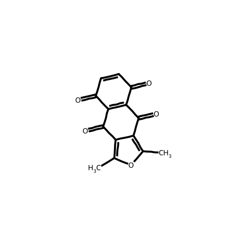 Cc1oc(C)c2c(=O)c3c(=O)ccc(=O)c=3c(=O)c12